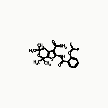 CC1(C)Cc2c(sc(NC(=O)c3ccccc3OC(F)F)c2C(N)=O)C(C)(C)O1